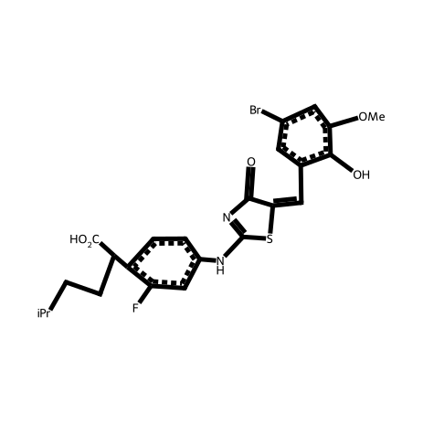 COc1cc(Br)cc(C=C2SC(Nc3ccc(C(CCC(C)C)C(=O)O)c(F)c3)=NC2=O)c1O